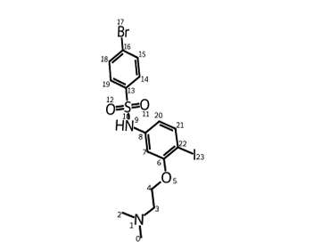 CN(C)CCOc1cc(NS(=O)(=O)c2ccc(Br)cc2)ccc1I